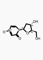 O=c1c[n+]([O-])ccn1[C@H]1C[C@H](O)[C@@H](CO)O1